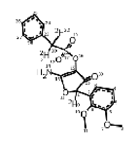 [2H]C1(c2cccc(OC)c2OC)OC(N)=C(OS(=O)(=O)C([2H])([2H])c2ccccc2)C1=O